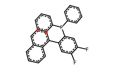 Fc1cc(-c2cccc3ccccc23)c(P(c2ccccc2)c2ccccc2)cc1F